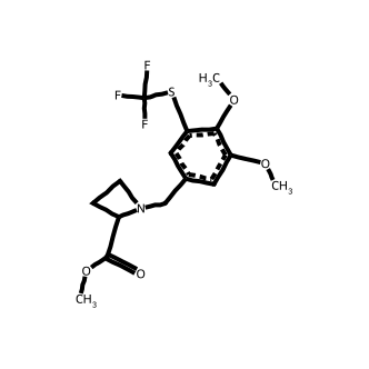 COC(=O)C1CCN1Cc1cc(OC)c(OC)c(SC(F)(F)F)c1